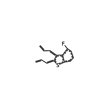 C=C/C=c1\c(=C/C=C)sc2cccc(F)c12